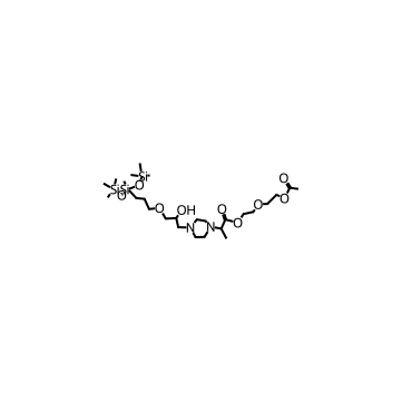 CC(=O)OCCOCCOC(=O)C(C)N1CCN(CC(O)COCCC[Si](C)(O[Si](C)(C)C)O[Si](C)(C)C)CC1